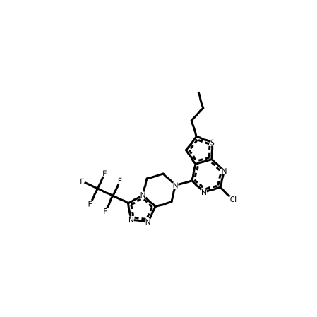 CCCc1cc2c(N3CCn4c(nnc4C(F)(F)C(F)(F)F)C3)nc(Cl)nc2s1